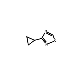 [c]1nc(C2CC2)ns1